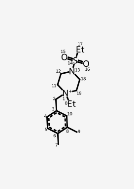 CC[N+]1(Cc2ccc(C)c(C)c2)CCN(S(=O)(=O)CC)CC1